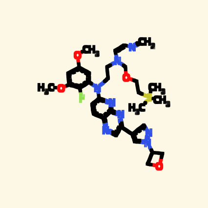 C=N/C=C\N(CCN(c1ccc2ncc(-c3cnn(C4COC4)c3)nc2n1)c1cc(OC)cc(OC)c1F)COCCS(C)(C)C